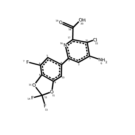 Nc1cc(-c2cc(F)c3c(c2)OC(F)(F)O3)nc(C(=O)O)c1Cl